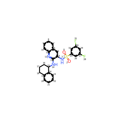 O=S(=O)(Nc1cc2ccccc2nc1NC1CCCc2ccccc21)c1cc(F)cc(F)c1